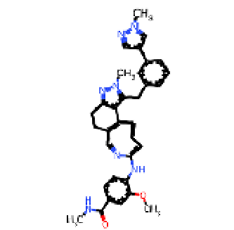 CNC(=O)c1ccc(NC2=C/C=C/C3=C(/C=N\2)CCc2nn(C)c(Cc4cccc(-c5cnn(C)c5)c4)c23)c(OC)c1